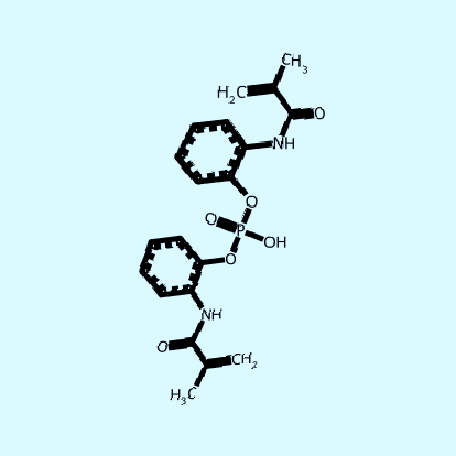 C=C(C)C(=O)Nc1ccccc1OP(=O)(O)Oc1ccccc1NC(=O)C(=C)C